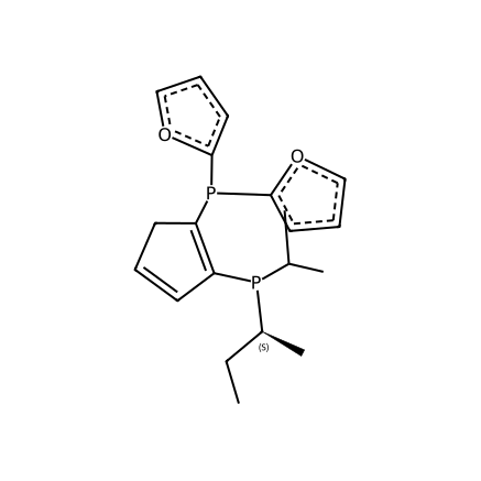 CC[C@H](C)P(C1=C(P(c2ccco2)c2ccco2)CC=C1)C(C)C